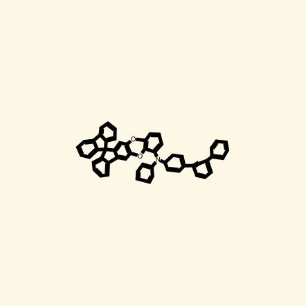 C1=CC(N(c2ccccc2)c2cccc3c2Oc2cc4c(cc2O3)C2(c3ccccc3-c3ccccc32)c2ccccc2-4)CC=C1c1cccc(-c2ccccc2)c1